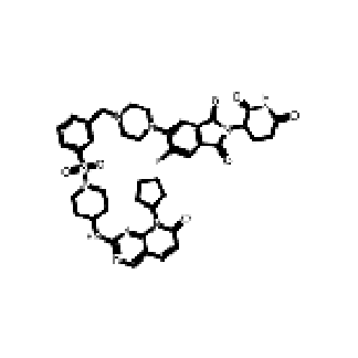 O=C1CCC(N2C(=O)c3cc(F)c(N4CCN(Cc5cccc(S(=O)(=O)N6CCC(Nc7ncc8ccc(=O)n(C9CCCC9)c8n7)CC6)c5)CC4)cc3C2=O)C(=O)N1